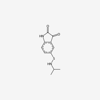 CC(C)NSc1ccc2c(c1)C(=O)C(=O)N2